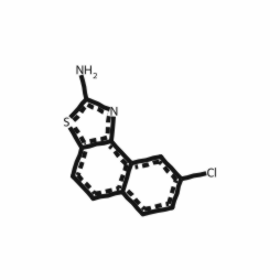 Nc1nc2c(ccc3ccc(Cl)cc32)s1